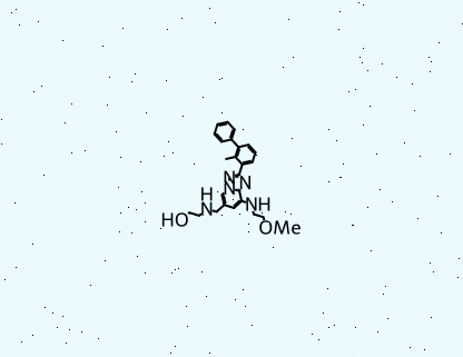 COCCNc1cc(CNCCO)cn2nc(-c3cccc(-c4ccccc4)c3C)nc12